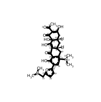 CC(=O)C1=C(O)C[C@@H]2C[C@@H]3Cc4c(N(C)C)cc(-c5ccc(CN(C)C)o5)c(O)c4C(=O)C3=C(O)[C@]2(O)C1=O